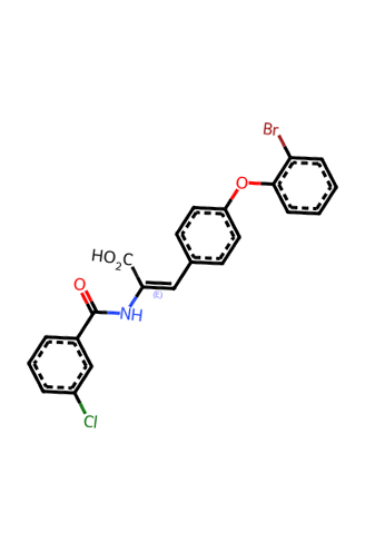 O=C(O)/C(=C\c1ccc(Oc2ccccc2Br)cc1)NC(=O)c1cccc(Cl)c1